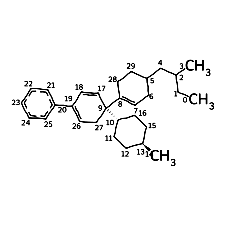 CCC(C)CC1CC=C(C2([C@H]3CC[C@H](C)CC3)C=CC(c3ccccc3)=CC2)CC1